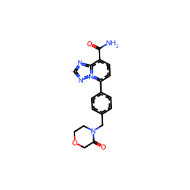 NC(=O)c1ccc(-c2ccc(CN3CCOCC3=O)cc2)n2n[c]nc12